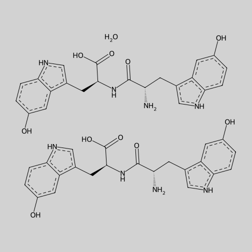 N[C@@H](Cc1c[nH]c2ccc(O)cc12)C(=O)N[C@@H](Cc1c[nH]c2ccc(O)cc12)C(=O)O.N[C@@H](Cc1c[nH]c2ccc(O)cc12)C(=O)N[C@@H](Cc1c[nH]c2ccc(O)cc12)C(=O)O.O